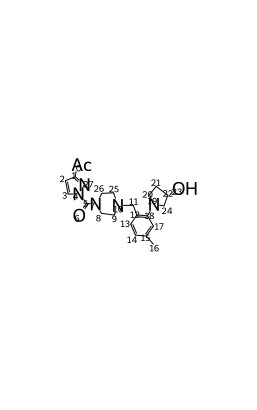 CC(=O)c1ccn(C(=O)N2CCN(Cc3ccc(C)cc3N3CC[C@H](O)C3)CC2)n1